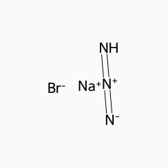 [Br-].[N-]=[N+]=N.[Na+]